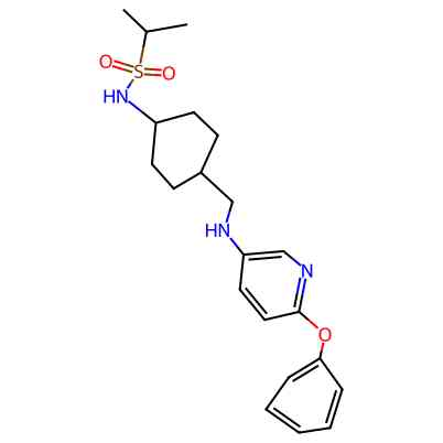 CC(C)S(=O)(=O)NC1CCC(CNc2ccc(Oc3ccccc3)nc2)CC1